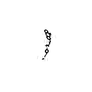 CN(C)CCOc1ccc(-c2ncc(CNC(=O)c3ccc4c(c3)NC(=O)c3ccccc3[S+]4[O-])s2)cc1